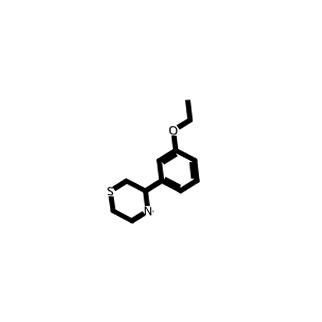 CCOc1cccc(C2CSCC[N]2)c1